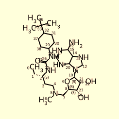 CC[C@@H](CCN(C)C[C@H]1O[C@@H](N2CNC3C(N)NCNC32)[C@H](O)[C@@H]1O)NC(=O)NC1CCC(C(C)(C)C)CC1